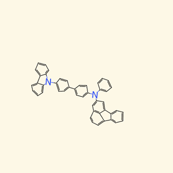 c1ccc(N(c2ccc(-c3ccc(-n4c5ccccc5c5ccccc54)cc3)cc2)c2cc3c4c(cccc4c2)-c2ccccc2-3)cc1